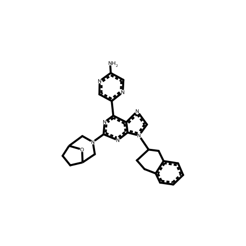 Nc1cnc(-c2nc(N3CC4CCC(C3)O4)nc3c2ncn3C2CCc3ccccc3C2)cn1